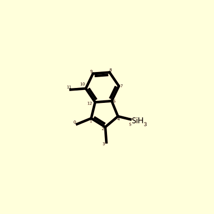 CC1=C(C)C([SiH3])c2cccc(C)c21